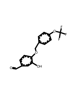 O=Cc1ccc(OCc2ccc(OC(F)(F)F)cc2)c(O)c1